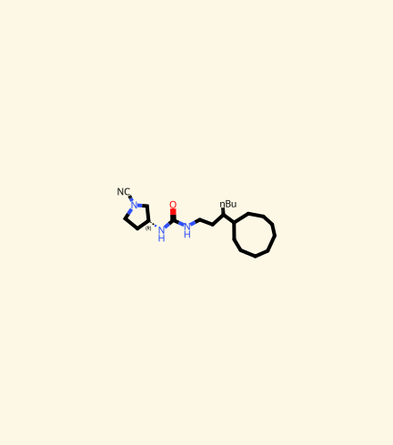 CCCCC(CCNC(=O)N[C@@H]1CCN(C#N)C1)C1CCCCCCCC1